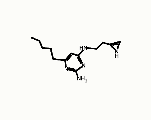 CCCCCc1cc(NCCC2=CN2)nc(N)n1